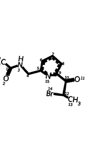 CC(=O)NCc1cccc(C(=O)C(C)Br)n1